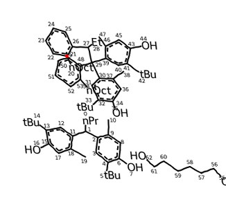 CCCC(c1cc(C(C)(C)C)c(O)cc1C)c1cc(C(C)(C)C)c(O)cc1C.CCCCCCCCc1ccccc1C(CC)C(c1cc(C(C)(C)C)c(O)cc1C)(c1cc(C(C)(C)C)c(O)cc1C)c1ccccc1CCCCCCCC.OCCCCCCO